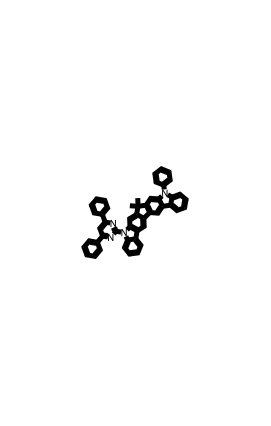 CC1(C)c2cc3c(cc2-c2cc4c5ccccc5n(-c5nc(-c6ccccc6)cc(-c6ccccc6)n5)c4cc21)c1ccccc1n3-c1ccccc1